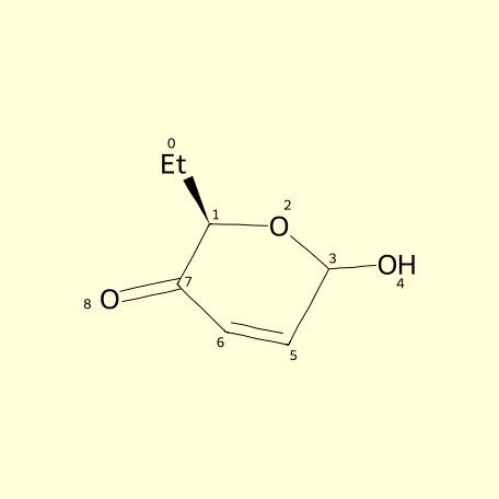 CC[C@H]1OC(O)C=CC1=O